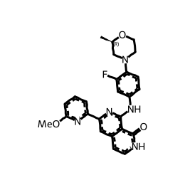 COc1cccc(-c2cc3cc[nH]c(=O)c3c(Nc3ccc(N4CCO[C@H](C)C4)c(F)c3)n2)n1